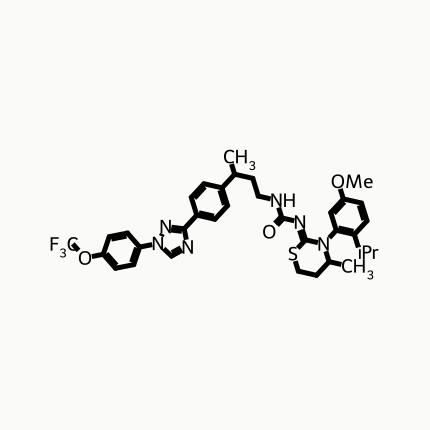 COc1ccc(C(C)C)c(N2/C(=N/C(=O)NCCC(C)c3ccc(-c4ncn(-c5ccc(OC(F)(F)F)cc5)n4)cc3)SCCC2C)c1